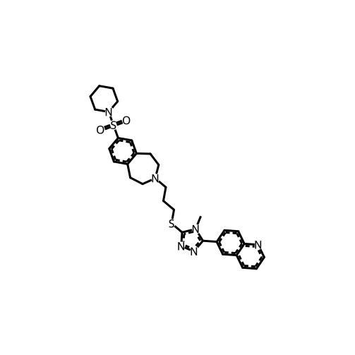 Cn1c(SCCCN2CCc3ccc(S(=O)(=O)N4CCCCC4)cc3CC2)nnc1-c1ccc2ncccc2c1